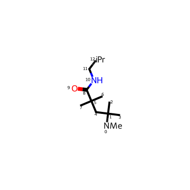 CNC(C)(C)CC(C)(C)C(=O)NCC(C)C